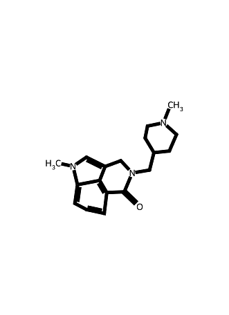 CN1CCC(CN2Cc3cn(C)c4cccc(c34)C2=O)CC1